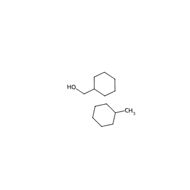 CC1CCCCC1.OCC1CCCCC1